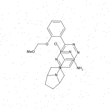 COCOc1ccccc1-c1cc(N2CC3CCC(C2)N3c2ccnc(Cl)n2)c(N)nn1